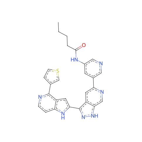 CCCCC(=O)Nc1cncc(-c2cc3c(-c4cc5c(-c6ccsc6)nccc5[nH]4)n[nH]c3cn2)c1